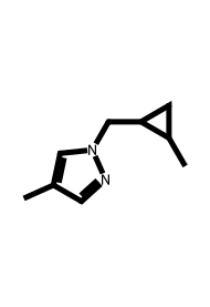 Cc1cnn(CC2CC2C)c1